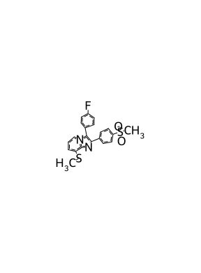 CSc1cccn2c(-c3ccc(F)cc3)c(-c3ccc(S(C)(=O)=O)cc3)nc12